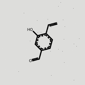 C=Cc1ccc(C=O)cc1O